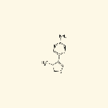 CC1CSC=C1c1ccc(N)cc1